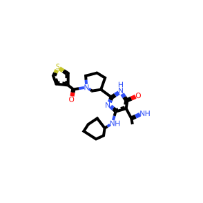 CC(=N)c1c(NC2CCCCC2)nc(C2CCCN(C(=O)c3ccsc3)C2)[nH]c1=O